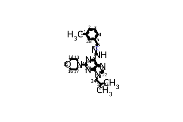 Cc1cccc(/C=N/Nc2nc(N3CCOCC3)nc3c2ncn3CC(C)C)c1